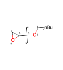 CCCCCOC(C)(C)C1CO1